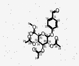 COC(=O)[C@H]1OC(Oc2ccc(C=O)cc2)[C@H](OC(C)=O)[C@@H](OC(C)=O)[C@@H]1OC(C)=O